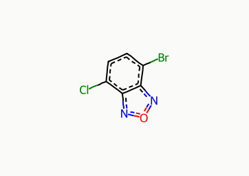 Clc1ccc(Br)c2nonc12